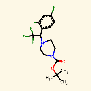 CC(C)(C)OC(=O)N1CCN(C(c2ccc(F)cc2F)C(F)(F)F)CC1